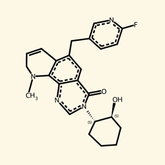 CN1CC=Cc2c(Cc3ccc(F)nc3)cc3c(=O)n([C@H]4CCCC[C@@H]4O)cnc3c21